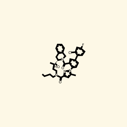 CCCCN(CCCC)C(=O)c1cc(C)n(-c2ccc(-c3ccc(F)cc3Cl)cc2C(=O)N2Cc3ccccc3C[C@H]2CO)n1